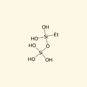 CC[Si](O)(O)O[Si](O)(O)O